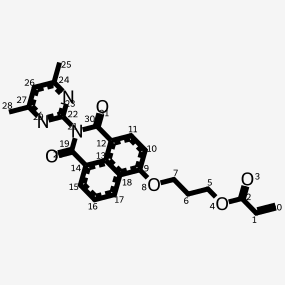 C=CC(=O)OCCCOc1ccc2c3c(cccc13)C(=O)N(c1nc(C)cc(C)n1)C2=O